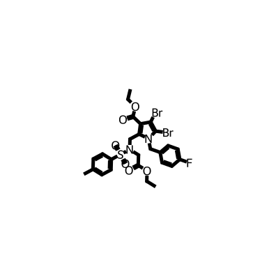 CCOC(=O)CN(Cc1c(C(=O)OCC)c(Br)c(Br)n1Cc1ccc(F)cc1)S(=O)(=O)c1ccc(C)cc1